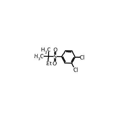 CCC(C)(C)S(=O)(=O)c1ccc(Cl)c(Cl)c1